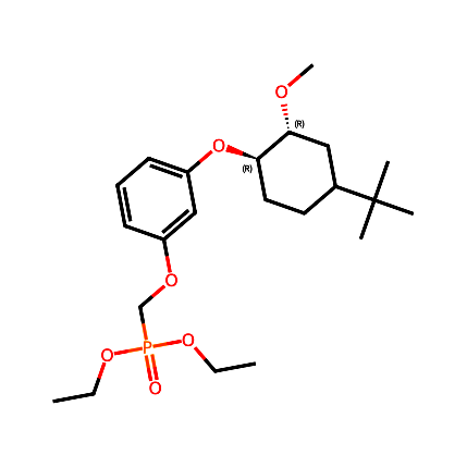 CCOP(=O)(COc1cccc(O[C@@H]2CCC(C(C)(C)C)C[C@H]2OC)c1)OCC